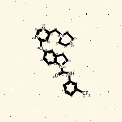 O=C(Nc1cccc(C(F)(F)F)c1)N1CCc2cc(Oc3cc(CN4CCSCC4)ncn3)ccc21